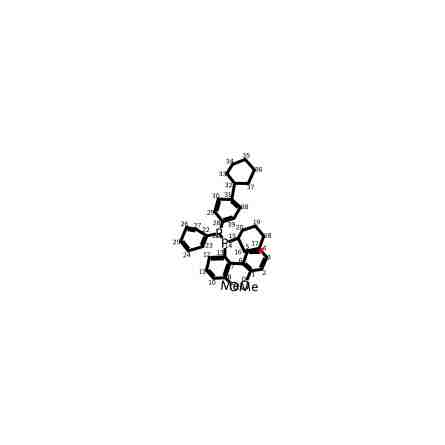 COc1ccc[c]c1-c1c(OC)cccc1P(C1CCCCC1)P(c1ccccc1)c1ccc(C2CCCCC2)cc1